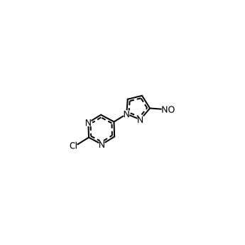 O=Nc1ccn(-c2cnc(Cl)nc2)n1